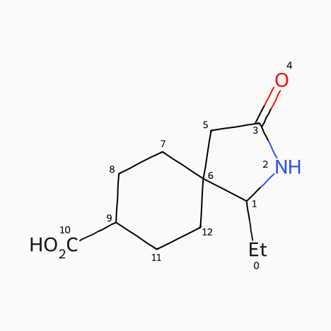 CCC1NC(=O)CC12CCC(C(=O)O)CC2